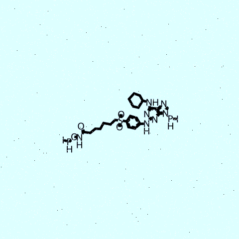 O=C(CCCCCCS(=O)(=O)c1ccc(Nc2nc(NC3CCCCC3)c3ncn(PI)c3n2)cc1)NOPI